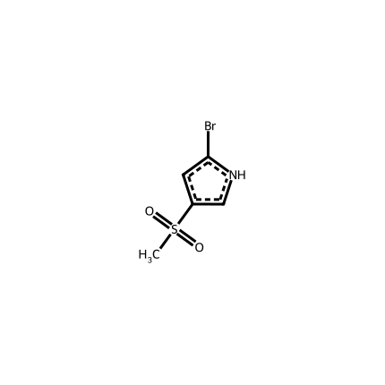 CS(=O)(=O)c1c[nH]c(Br)c1